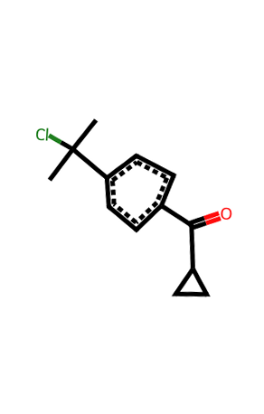 CC(C)(Cl)c1ccc(C(=O)C2CC2)cc1